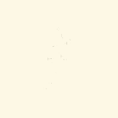 C=C(C)[C@@H]1CC[C@]2(C(C)=O)CC[C@]3(C)[C@H](CC[C@@H]4[C@@]5(C)C(=O)C=C(c6ccc(OC=O)cc6)C(C)(C)[C@@H]5CC[C@]43C)[C@@H]12